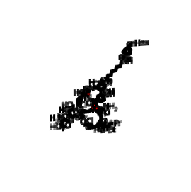 CCCCCCOc1ccc(S(=O)(=O)NCCCCCCCC(=O)Oc2cc(O)c3c(c2)[C@@H](C(=O)O)NC(=O)[C@H]2NC(=O)[C@H](CC(=O)[C@@H]4NC(=O)[C@H](CC(N)=O)CC(=O)[C@H](NC(=O)[C@H](CC)CC(C)C)[C@H](O)c5ccc(c(Cl)c5)Oc5cc4cc(c5O[C@@H]4O[C@H](CO)[C@@H](O)[C@H](O)[C@H]4O[C@H]4C[C@](C)(N)[C@H](O)[C@H](C)O4)Oc4ccc(cc4Cl)[C@H]2O)c2ccc(O)c-3c2)cc1